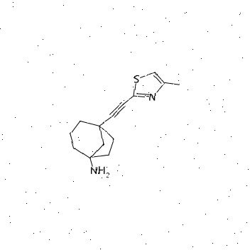 Cc1csc(C#CC23CCCC(N)(CC2)C3)n1